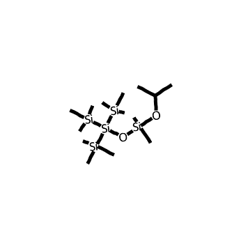 CC(C)O[Si](C)(C)O[Si]([Si](C)(C)C)([Si](C)(C)C)[Si](C)(C)C